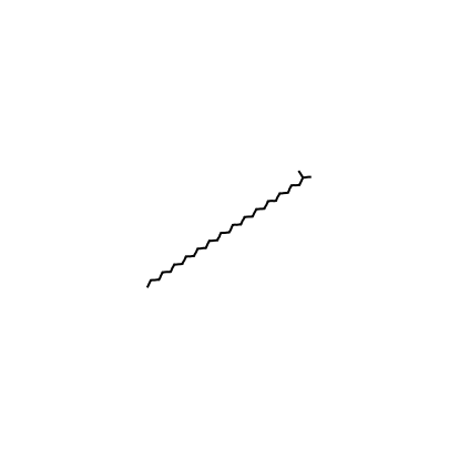 CCCCCCCCCCCCCCCCCCCCCCCCCCCC(C)C